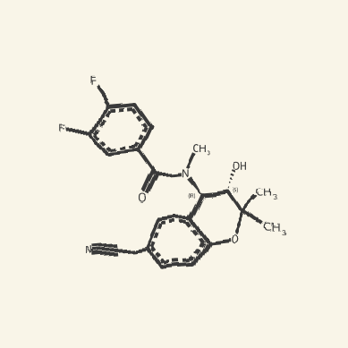 CN(C(=O)c1ccc(F)c(F)c1)[C@@H]1c2cc(C#N)ccc2OC(C)(C)[C@H]1O